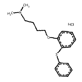 CN(C)CCCCOc1ccccc1Sc1ccccc1.Cl